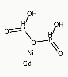 O=[PH](O)O[PH](=O)O.[Gd].[Ni]